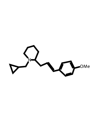 COc1ccc(C=CCC2CCCCN2CC2CC2)cc1